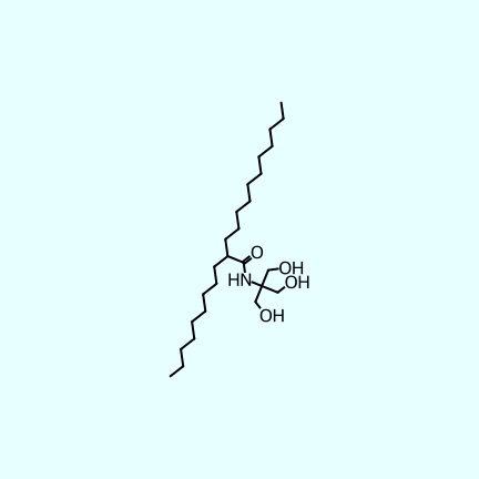 CCCCCCCCCCCC(CCCCCCCCC)C(=O)NC(CO)(CO)CO